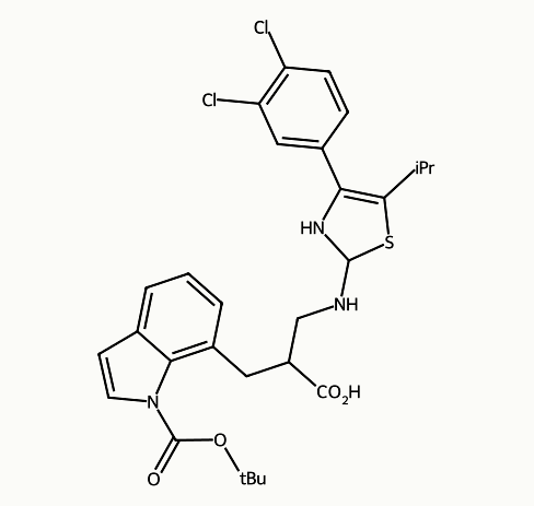 CC(C)C1=C(c2ccc(Cl)c(Cl)c2)NC(NCC(Cc2cccc3ccn(C(=O)OC(C)(C)C)c23)C(=O)O)S1